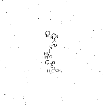 CC(C)COC(=O)c1cccc(NC(=O)NCCCOC(=O)CSc2nccc(-c3ccccn3)n2)c1